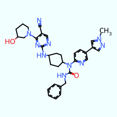 Cn1cc(-c2ccc(N(C(=O)NCc3ccccc3)C3CCC(Nc4ncc(C#N)c(N5CCCC(O)C5)n4)CC3)nc2)cn1